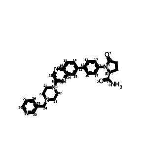 NC(=O)[C@@H]1CCC(=O)N1c1ccc(-c2ccc3ncc(N4CCN(Cc5cccnc5)CC4)nc3c2)cc1